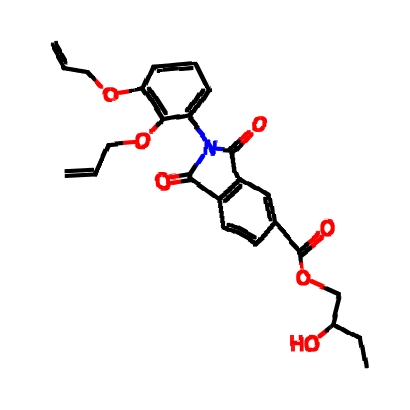 C=CCOc1cccc(N2C(=O)c3ccc(C(=O)OCC(O)CC)cc3C2=O)c1OCC=C